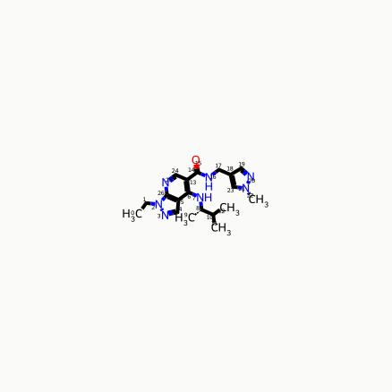 CCn1ncc2c(N[C@@H](C)C(C)C)c(C(=O)NCc3cnn(C)c3)cnc21